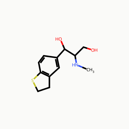 CNC(CO)C(O)c1ccc2c(c1)CCS2